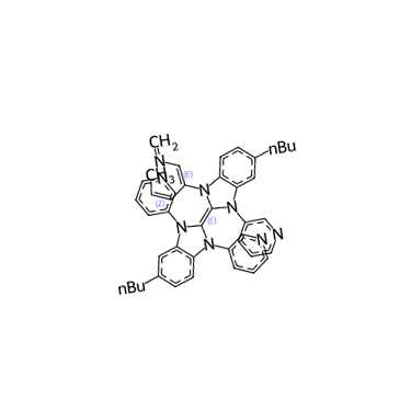 C=N/C=C(\C=C/C)N1/C(=C2/N(c3cccnc3)c3ccc(CCCC)cc3N2c2cccnc2)N(c2cccnc2)c2cc(CCCC)ccc21